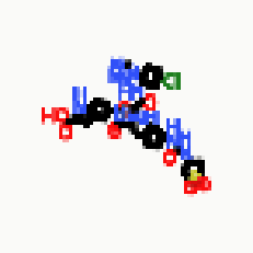 O=C(Nc1ccc(C[C@H](NC(=O)C(=O)Nc2cc(Cl)ccc2-n2cnnn2)C(=O)Nc2ccc3[nH]c(C(=O)O)cc3c2)cc1)NC1CCS(=O)(=O)CC1